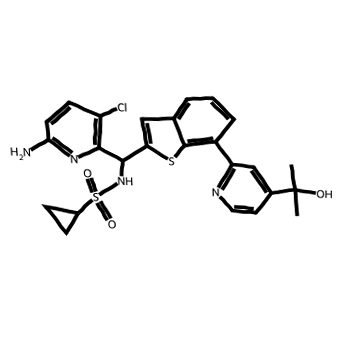 CC(C)(O)c1ccnc(-c2cccc3cc(C(NS(=O)(=O)C4CC4)c4nc(N)ccc4Cl)sc23)c1